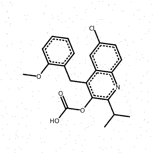 COc1ccccc1Cc1c(OC(=O)O)c(C(C)C)nc2ccc(Cl)cc12